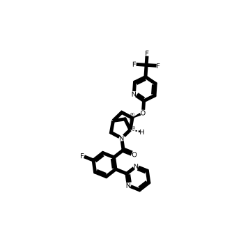 O=C(c1cc(F)ccc1-c1ncccn1)N1CC2C[C@@H](Oc3ccc(C(F)(F)F)cn3)[C@@H]1C2